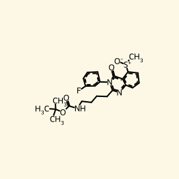 C[S+]([O-])c1cccc2nc(CCCCNC(=O)OC(C)(C)C)n(-c3cccc(F)c3)c(=O)c12